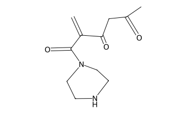 C=C(C(=O)CC(C)=O)C(=O)N1CCNCC1